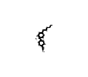 CCCCCC1CCC(F)(C2CCC(C#N)CC2)CC1